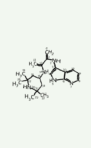 C=C(Nc1c[nH]c2ncccc12)C(=C)NC1CC(C)(C)NC(C)(C)C1